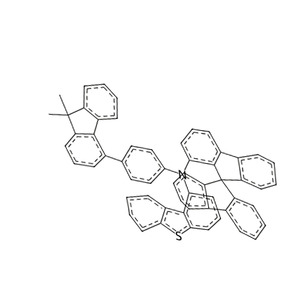 CC1(C)c2ccccc2-c2c(-c3ccc(N(c4cccc5c4C4(c6ccccc6-c6ccccc64)c4ccccc4-5)c4cccc5sc6ccccc6c45)cc3)cccc21